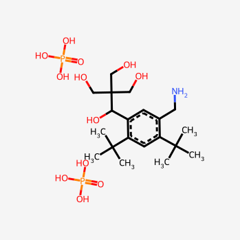 CC(C)(C)c1cc(C(C)(C)C)c(C(O)C(CO)(CO)CO)cc1CN.O=P(O)(O)O.O=P(O)(O)O